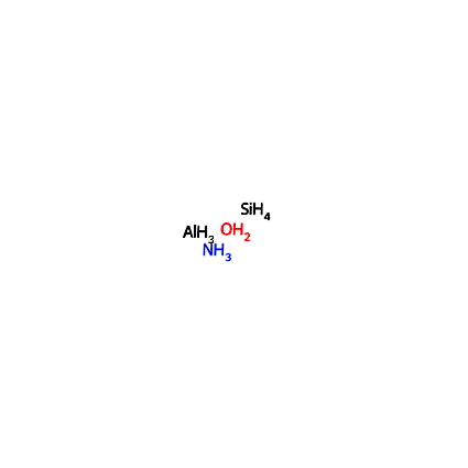 N.O.[AlH3].[SiH4]